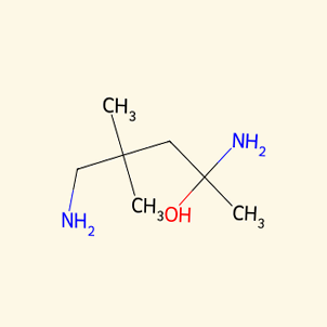 CC(N)(O)CC(C)(C)CN